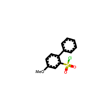 COc1ccc(-c2ccccc2)c(S(=O)(=O)Cl)c1